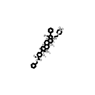 CC(C)C1=C2[C@H]3CC[C@@H]4[C@@]5(C)CC=C(C6=CC[C@](CF)(C(=O)OCc7ccccc7)CC6)C(C)(C)[C@@H]5CC[C@@]4(C)[C@]3(C)CC[C@@]2(NCCN2CCS(=O)(=O)CC2)C=C1c1ccccc1